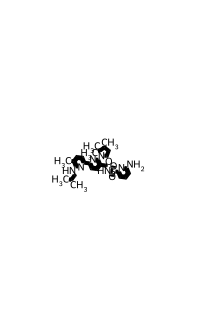 Cc1ccc(-c2ccc(C(=O)NS(=O)(=O)c3cccc(N)n3)c(N3CCC(C)C3(C)C)n2)nc1NCC(C)C